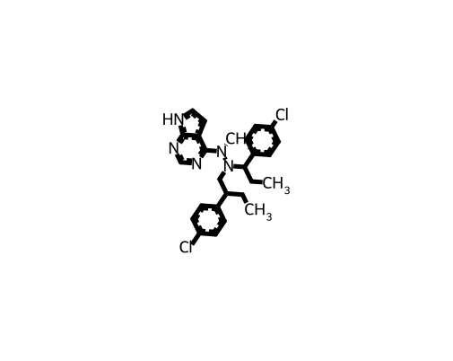 CCC(CN(C(CC)c1ccc(Cl)cc1)N(C)c1ncnc2[nH]ccc12)c1ccc(Cl)cc1